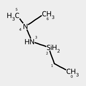 CC[SiH2]NN(C)C